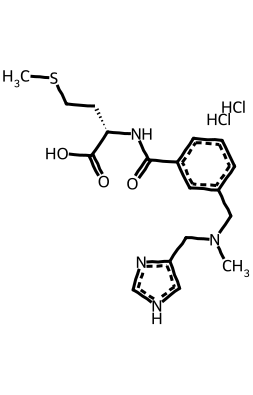 CSCC[C@H](NC(=O)c1cccc(CN(C)Cc2c[nH]cn2)c1)C(=O)O.Cl.Cl